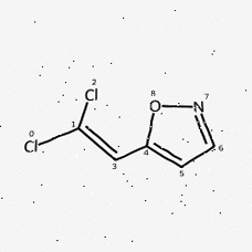 ClC(Cl)=Cc1c[c]no1